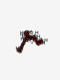 Cc1c(-c2ccc(N3CCc4cccc(C(=O)Nc5nc6ccccc6s5)c4C3)nc2C(=O)O)cnn1CC12CC3(C)CC(C)(C1)CC(OCCN(C)C(=O)OCc1ccc(O[C@@H]4O[C@H](C(=O)O)C(O)[C@H](O)C4O)c(NC(=O)CCNC(=O)CCOCCOCCOCCOCCNC(=O)CCN4C(=O)C=CC4=O)c1)(C3)C2